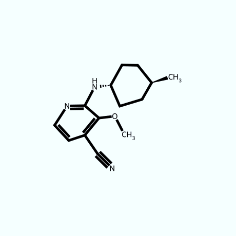 COc1c(C#N)ccnc1N[C@H]1CC[C@H](C)CC1